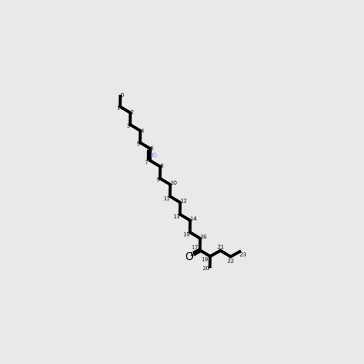 CCCCCC/C=C/CCCCCCCCCC(=O)C(C)CCC